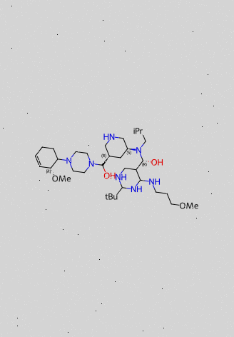 COCCCNC1NC(C(C)(C)C)NCC1[C@@H](O)N(CC(C)C)[C@@H]1CNC[C@H](C(O)N2CCN(C3CCC=C[C@H]3OC)CC2)C1